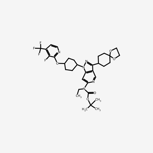 CCN(C(=O)OC(C)(C)C)c1cc2c(cn1)c(C1CCC3(CC1)OCCO3)nn2C1CCC(Oc2nccc(C(F)(F)F)c2F)CC1